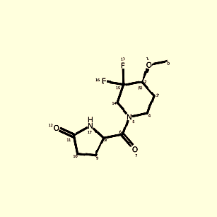 CO[C@H]1CCN(C(=O)C2CCC(=O)N2)CC1(F)F